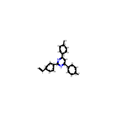 C=Cc1ccc(-c2nc(-c3ccc(C)cc3)cc(-c3ccc(C)cc3)n2)cc1